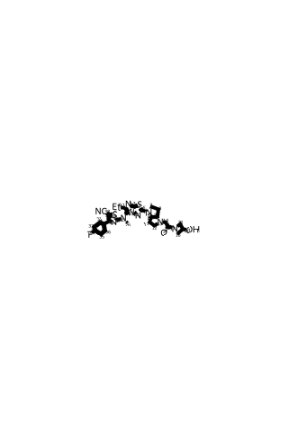 CCc1nc2sc(N3CCC4C3CCN4CC(=O)N3CC(O)C3)nn2c1N(C)c1nc(-c2ccc(F)cc2)c(C#N)s1